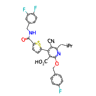 CC(C)Cc1nc(OCc2ccc(F)cc2)c(C(=O)O)c(-c2ccc(C(=O)NCc3ccc(F)c(F)c3)s2)c1C#N